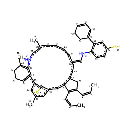 C/C=C\C1=C(/C=C\C)c2cc3cc(C)cc(c3S)c3c([nH]cc(C)cccc/c(=C\Nc4ccc(S)cc4C4=CC=CCC4)cc2C1)=C(C)CCC=3